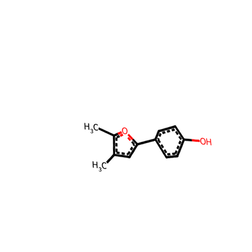 Cc1cc(-c2ccc(O)cc2)oc1C